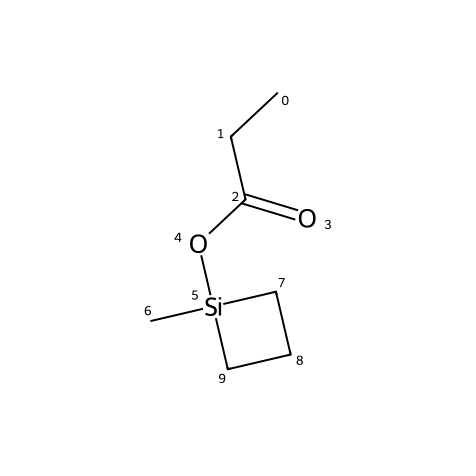 CCC(=O)O[Si]1(C)CCC1